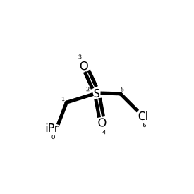 CC(C)CS(=O)(=O)CCl